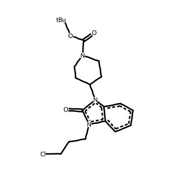 CC(C)(C)OC(=O)N1CCC(n2c(=O)n(CCCCl)c3ccccc32)CC1